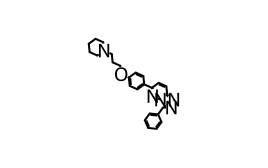 c1ccc(-c2nnc3ccc(-c4ccc(OCCCN5CCCCC5)cc4)nn23)cc1